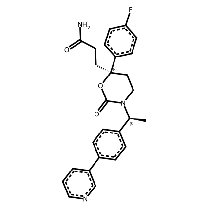 C[C@@H](c1ccc(-c2cccnc2)cc1)N1CC[C@](CCC(N)=O)(c2ccc(F)cc2)OC1=O